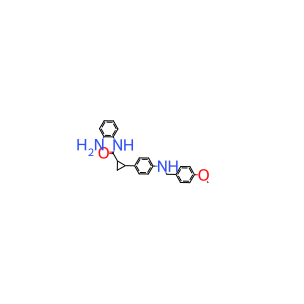 COc1ccc(CNc2ccc(C3CC3C(=O)Nc3ccccc3N)cc2)cc1